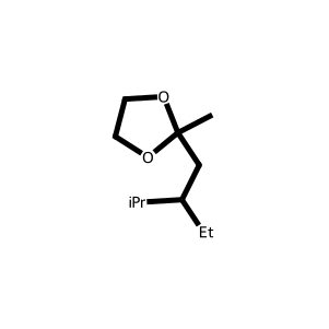 CCC(CC1(C)OCCO1)C(C)C